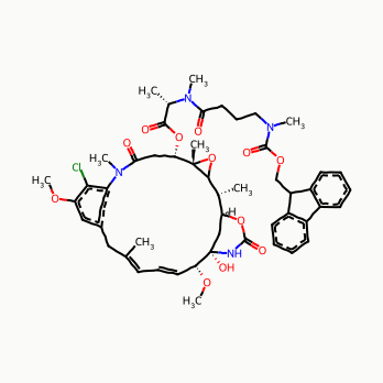 COc1cc2cc(c1Cl)N(C)C(=O)C[C@H](OC(=O)[C@H](C)N(C)C(=O)CCCN(C)C(=O)OCC1c3ccccc3-c3ccccc31)[C@]1(C)OC1[C@H](C)[C@@H]1C[C@@](O)(NC(=O)O1)[C@H](OC)/C=C/C=C(\C)C2